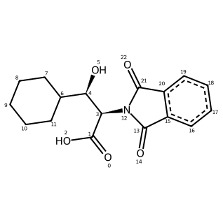 O=C(O)[C@@H]([C@H](O)C1CCCCC1)N1C(=O)c2ccccc2C1=O